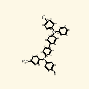 Cc1ccc(N(c2ccc(Br)cc2)c2ccc(-c3ccc(N(c4ccccc4)c4ccc(Br)cc4)cc3)cc2)cc1